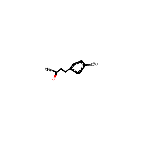 CC(C)(C)C(=O)CCc1ccc(C(C)(C)C)cc1